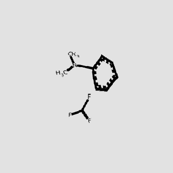 CN(C)c1ccccc1.FC(F)F